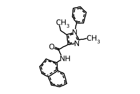 CCc1c(C(=O)Nc2cccc3ccccc23)nc(C)n1-c1ccccc1